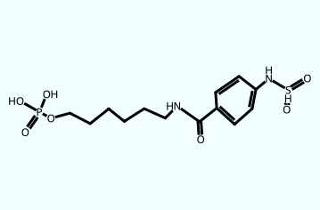 O=C(NCCCCCCOP(=O)(O)O)c1ccc(N[SH](=O)=O)cc1